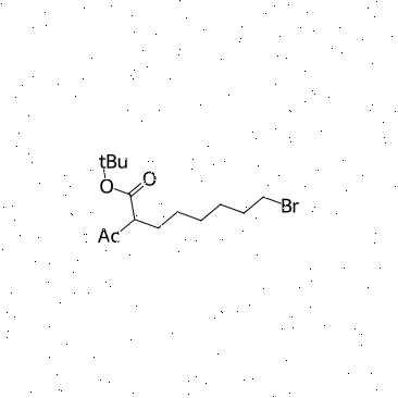 CC(=O)C(CCCCCCBr)C(=O)OC(C)(C)C